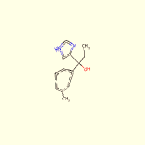 CCC(O)(c1cccc(C)c1)c1c[nH]cn1